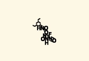 CCC1CC(CC)CC(CNC(=O)COc2nc(=O)[nH]c(N3CCOCC3)c2F)C1